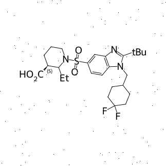 CCC1[C@@H](C(=O)O)CCCN1S(=O)(=O)c1ccc2c(c1)nc(C(C)(C)C)n2CC1CCC(F)(F)CC1